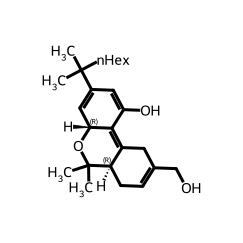 CCCCCCC(C)(C)C1=C[C@H]2OC(C)(C)[C@@H]3CC=C(CO)CC3=C2C(O)=C1